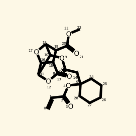 C=CC(=O)OC1(CC(=O)OC2C3OC(=O)C4C3OC2C4C(=O)OC)CCCCC1